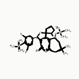 CC(C)c1nc2c(c3c1[C@@H](c1cc(F)c([Si](C)(C)C)c(F)c1)OC31CCCC1I)[C@@H](O[Si](C)(C)C(C)(C)C)CC(C)(C)C2